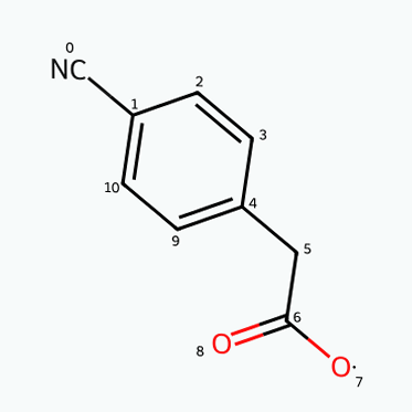 N#Cc1ccc(CC([O])=O)cc1